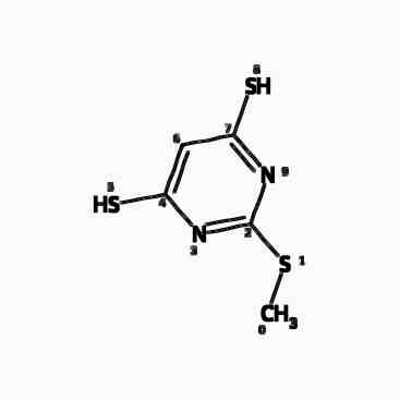 CSc1nc(S)cc(S)n1